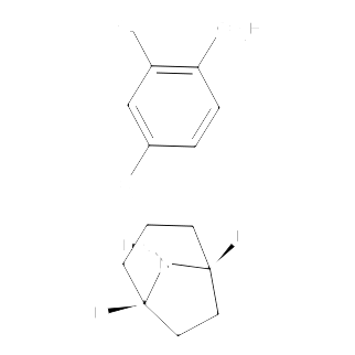 CN1[C@@H]2CC[C@H]1C[C@@H](Oc1ccc(C(=O)O)c(Cl)c1)C2